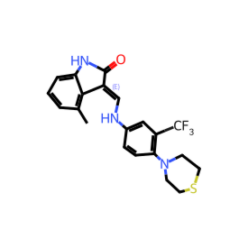 Cc1cccc2c1/C(=C\Nc1ccc(N3CCSCC3)c(C(F)(F)F)c1)C(=O)N2